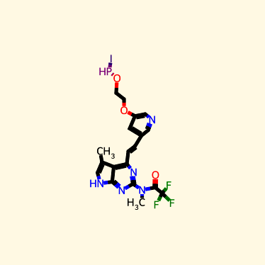 Cc1c[nH]c2nc(N(C)C(=O)C(F)(F)F)nc(/C=C/c3cncc(OCCOPI)c3)c12